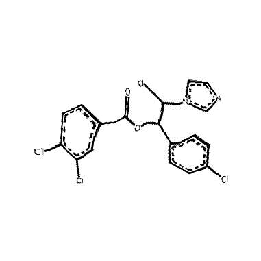 O=C(OC(c1ccc(Cl)cc1)C(Cl)n1ccnc1)c1ccc(Cl)c(Cl)c1